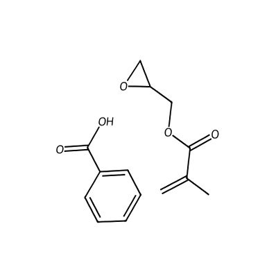 C=C(C)C(=O)OCC1CO1.O=C(O)c1ccccc1